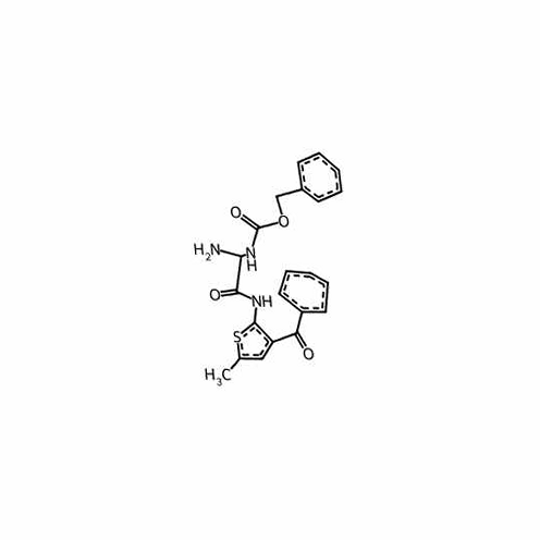 Cc1cc(C(=O)c2ccccc2)c(NC(=O)C(N)NC(=O)OCc2ccccc2)s1